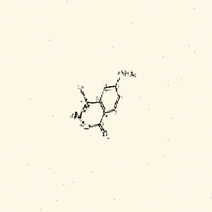 CC(=O)Nc1ccc2c(=O)onc(C)c2c1